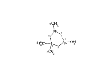 CN1C[C@H](O)CC(C)(C)C1